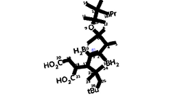 B/C(=C(/B)C(C)C(C)(C)OC(C)(C)C(C)(C)C(C)C)C(C(CC(=O)O)C(=O)O)C(C)(C)CC(C)(C)C